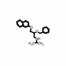 CC(C)NCC(COc1ccc2ccccc2c1)OCc1ccccc1